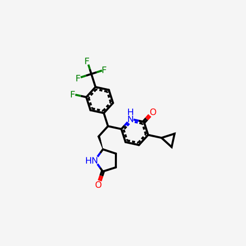 O=C1CC[C@H](CC(c2ccc(C(F)(F)F)c(F)c2)c2ccc(C3CC3)c(=O)[nH]2)N1